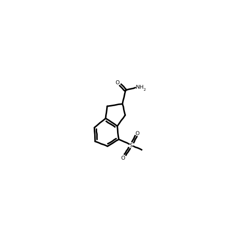 CS(=O)(=O)c1cccc2c1CC(C(N)=O)C2